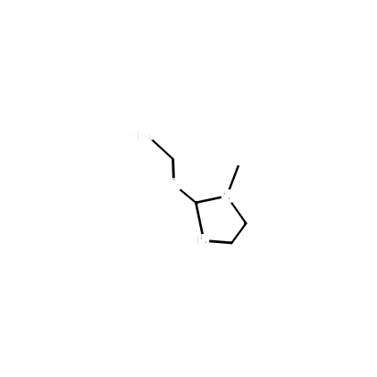 CCCCCOC1NCCN1C